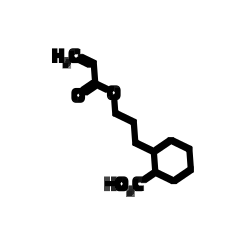 C=CC(=O)OCCCC1CCCCC1C(=O)O